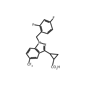 O=C(O)C1CC1c1nn(Cc2ccc(F)cc2F)c2ccc(C(F)(F)F)cc12